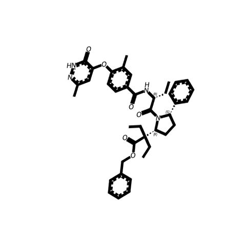 CC[C@@H](NC(=O)c1ccc(Oc2cc(C)n[nH]c2=O)c(C)c1)C(=O)N1[C@H](c2ccccc2)CC[C@@H]1C(CC)(CC)C(=O)OCc1ccccc1